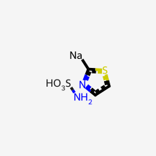 NS(=O)(=O)O.[Na][c]1nccs1